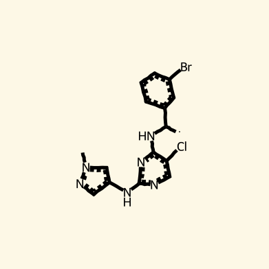 [CH2][C](Nc1nc(Nc2cnn(C)c2)ncc1Cl)c1cccc(Br)c1